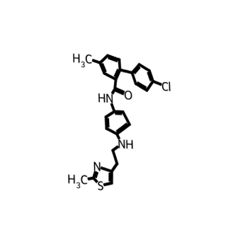 Cc1ccc(-c2ccc(Cl)cc2)c(C(=O)Nc2ccc(NCCc3csc(C)n3)cc2)c1